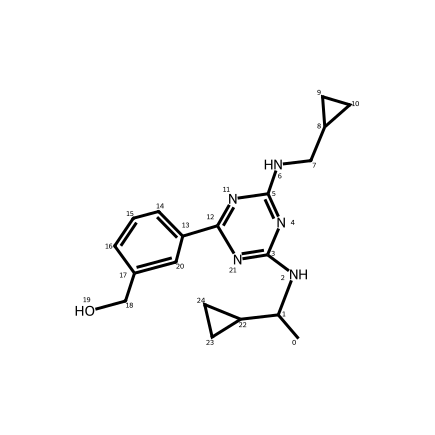 CC(Nc1nc(NCC2CC2)nc(-c2cccc(CO)c2)n1)C1CC1